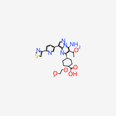 COCCO[C@]1(C(=O)O)CC[C@@H](c2nc3c(-c4ccc(-c5cscn5)nc4)cnn3c(N)c2C(C)=O)CC1